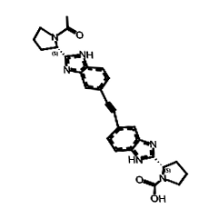 CC(=O)N1CCC[C@H]1c1nc2cc(C#Cc3ccc4[nH]c([C@@H]5CCCN5C(=O)O)nc4c3)ccc2[nH]1